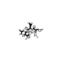 COC[C@H](N)C(=O)N[C@H](C(=O)N[C@@H](CC(C)C)C(=O)[C@@]1(C)CO1)C1CC1